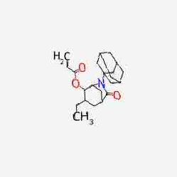 C=CC(=O)OC1C(CC)CC2CC1N(C13CC4CC(CC(C4)C1)C3)C2=O